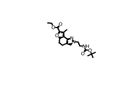 CCOC(=O)c1oc2c(c1C)-c1nn(CCNC(=O)OC(C)(C)C)cc1CC2